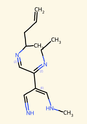 C=CCC(C)\N=C/C(=N\CC)C(/C=N)=C/NC